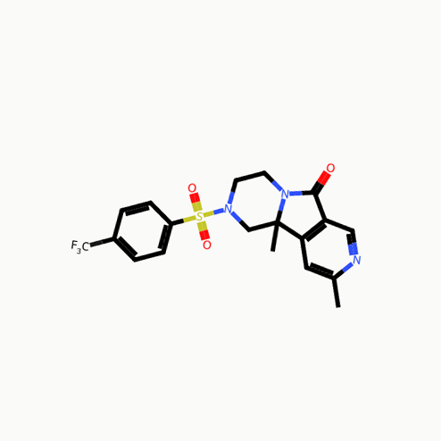 Cc1cc2c(cn1)C(=O)N1CCN(S(=O)(=O)c3ccc(C(F)(F)F)cc3)CC21C